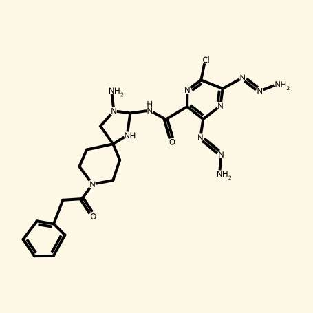 NN=Nc1nc(N=NN)c(C(=O)NC2NC3(CCN(C(=O)Cc4ccccc4)CC3)CN2N)nc1Cl